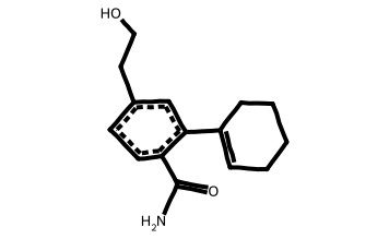 NC(=O)c1ccc(CCO)cc1C1=CCCCC1